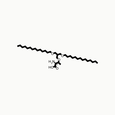 CCCCCCCCCCCCCCOCC(COCCCCCCCCCCCCCC)COC(C)[C@H](N)C(=O)O